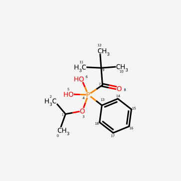 CC(C)OP(O)(O)(C(=O)C(C)(C)C)c1ccccc1